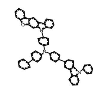 c1ccc(-c2ccc(N(c3ccc(-c4ccc5c(c4)c4ccccc4n5-c4ccccc4)cc3)c3ccc(-n4c5ccccc5c5cc6c(cc54)oc4ccccc46)cc3)cc2)cc1